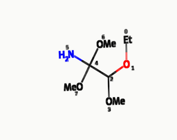 CCOC(OC)C(N)(OC)OC